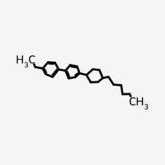 CCCCCCC1CCC(c2ccc(-c3ccc(CC)cc3)cc2)CC1